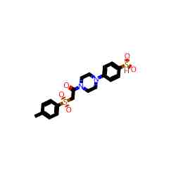 Cc1ccc(S(=O)(=O)CC(=O)N2CCN(c3ccc([SH](=O)=O)cc3)CC2)cc1